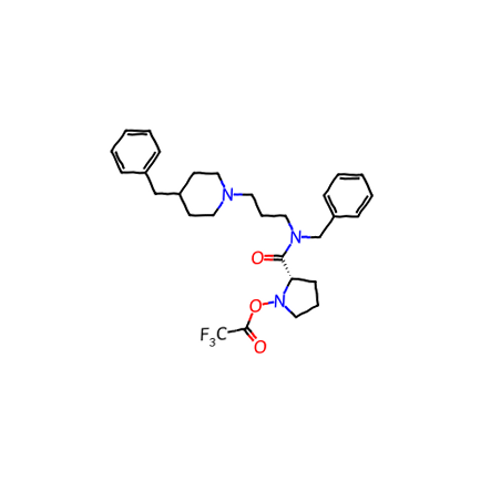 O=C([C@@H]1CCCN1OC(=O)C(F)(F)F)N(CCCN1CCC(Cc2ccccc2)CC1)Cc1ccccc1